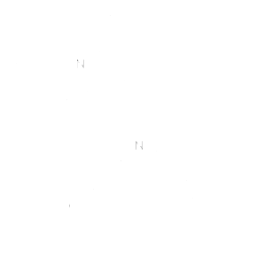 c1ccc(-c2ccc(N(c3ccc(-c4ccccc4-n4c5ccccc5c5ccccc54)cc3)c3ccc4oc5ccccc5c4c3)c3ccccc23)cc1